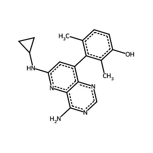 Cc1ccc(O)c(C)c1-c1cc(NC2CC2)nc2c(N)ncnc12